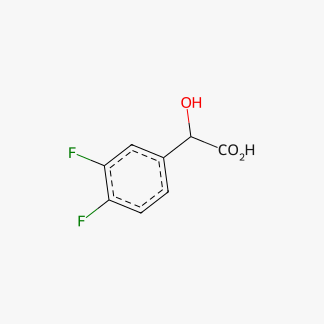 O=C(O)C(O)c1ccc(F)c(F)c1